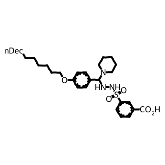 CCCCCCCCCCCCCCCCOc1ccc(C(NNS(=O)(=O)c2cccc(C(=O)O)c2)N2CCCCC2)cc1